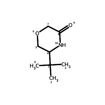 CC(C)(C)C1COCC(=O)N1